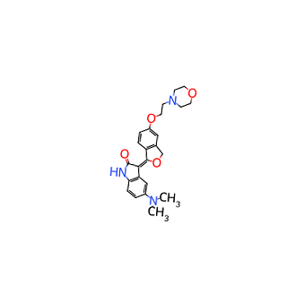 CN(C)c1ccc2c(c1)C(=C1OCc3cc(OCCN4CCOCC4)ccc31)C(=O)N2